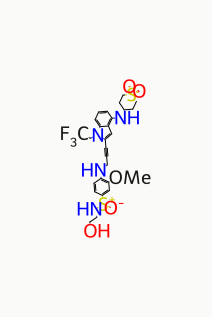 COc1cc([S+]([O-])NCCO)ccc1NCC#Cc1cc2c(NC3CCS(=O)(=O)CC3)cccc2n1CC(F)(F)F